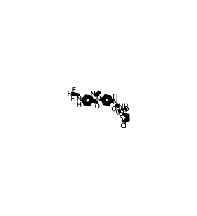 Cc1nc2cc(NCC(F)(F)F)ccc2c(=O)n1-c1ccc(NC(=O)NS(=O)(=O)c2ccc(Cl)s2)cc1